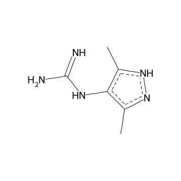 Cc1n[nH]c(C)c1NC(=N)N